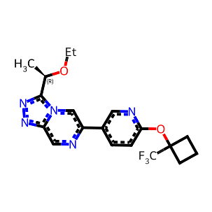 CCO[C@H](C)c1nnc2cnc(-c3ccc(OC4(C(F)(F)F)CCC4)nc3)cn12